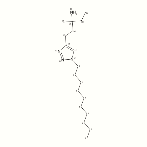 CCCCCCCCCCn1cc(CCC(C)(N)CC)nn1